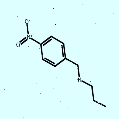 CCC[N]Cc1ccc([N+](=O)[O-])cc1